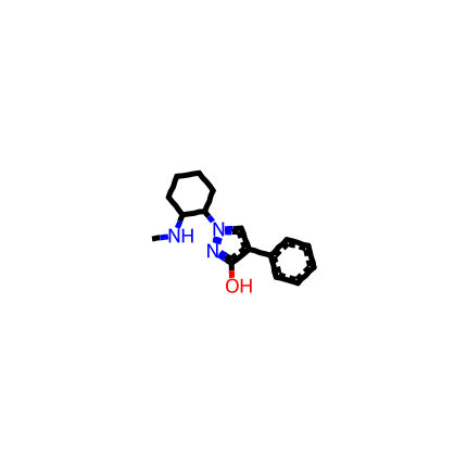 CNC1CCCCC1n1cc(-c2ccccc2)c(O)n1